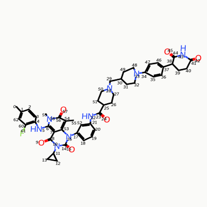 Cc1ccc(Nc2c3c(=O)n(C4CC4)c(=O)n(-c4cccc(NC(=O)C5CCN(CC6CCN(c7ccc(C8CCC(=O)NC8=O)cc7)CC6)CC5)c4)c3c(C)c(=O)n2C)c(F)c1